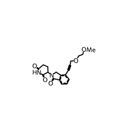 COCCOCC#Cc1cccc2c1CN(C1CCC(=O)NC1=O)C2=O